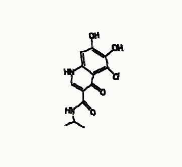 CC(C)NC(=O)c1c[nH]c2cc(O)c(O)c(Cl)c2c1=O